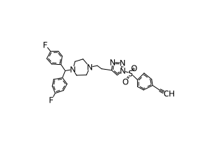 C#Cc1ccc(S(=O)(=O)n2cc(CCN3CCN(C(c4ccc(F)cc4)c4ccc(F)cc4)CC3)nn2)cc1